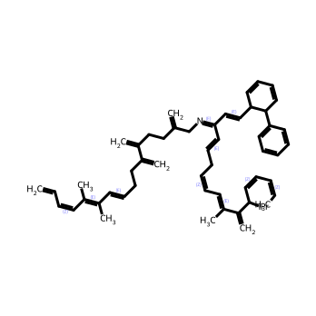 C=C\C=C/C(C)=C(C)/C=C/CCC(=C)C(=C)CCC(=C)C/N=C(\C=C\C/C=C\C=C(/C)C(=C)C(/C=C\C=C/C)C(C)C)/C=C/C1C=CC=CC1c1ccccc1